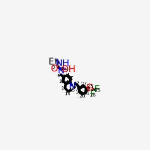 CCNC(=O)N(O)Cc1ccc2c(c1)CCCN2Cc1cccc(OC(F)F)c1